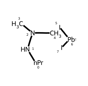 CCCNN(C)C.[I][Pb][I]